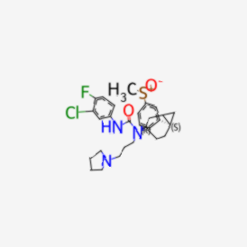 C[S+]([O-])c1cccc([C@]23CC[C@@H](N(CCCN4CCCC4)C(=O)Nc4ccc(F)c(Cl)c4)CC2C3)c1